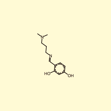 CN(C)CCCN=Cc1ccc(O)cc1O